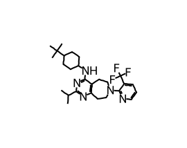 CC(C)c1nc2c(c(NC3CCC(C(C)(C)C)CC3)n1)CCN(c1ncccc1C(F)(F)F)CC2